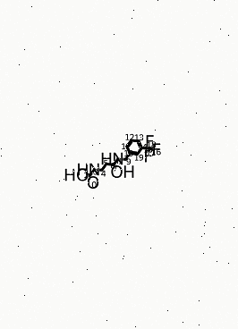 O=C(O)NCCC(O)NCc1cccc(C(F)(F)F)c1